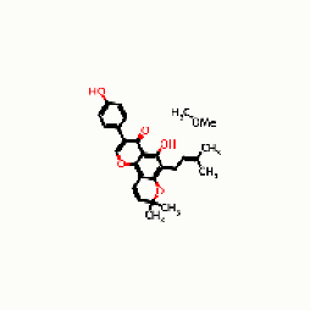 CC(C)=CCc1c2c(c3occ(-c4ccc(O)cc4)c(=O)c3c1O)C=CC(C)(C)O2.COC